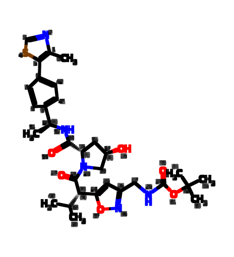 Cc1ncsc1-c1ccc([C@H](C)NC(=O)[C@@H]2C[C@@H](O)CN2C(=O)[C@H](c2cc(CNC(=O)OC(C)(C)C)no2)C(C)C)cc1